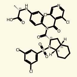 C[C@H](Nc1ccc(N(C(=O)c2c(Cl)cncc2Cl)C(=O)[C@@H]2C[C@@H]3CCCC[C@@H]3N2S(=O)(=O)c2cc(Cl)cc(Cl)c2)cc1)C(=O)O